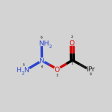 CC(C)C(=O)ON(N)N